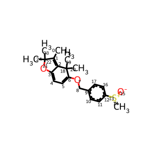 CC1=C2C(=CC=C(OCc3ccc([S+](C)[O-])cc3)C2(C)C)OC1(C)C